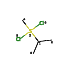 CC(C)S(C)(Cl)Cl